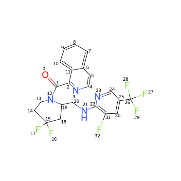 O=C(c1nccc2ccccc12)N1CCC(F)(F)CC1CNc1ncc(C(F)(F)F)cc1F